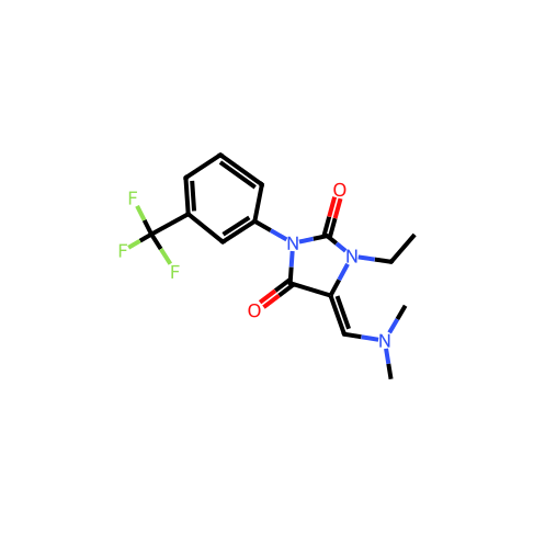 CCN1C(=O)N(c2cccc(C(F)(F)F)c2)C(=O)/C1=C/N(C)C